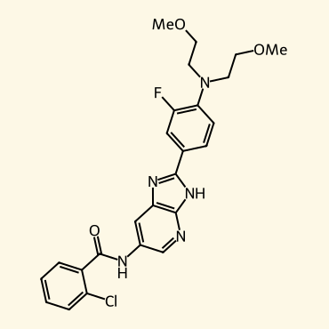 COCCN(CCOC)c1ccc(-c2nc3cc(NC(=O)c4ccccc4Cl)cnc3[nH]2)cc1F